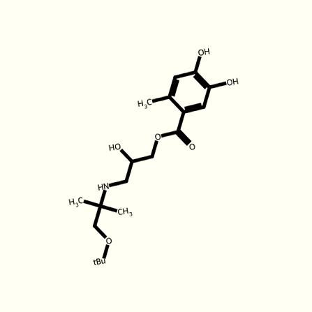 Cc1cc(O)c(O)cc1C(=O)OCC(O)CNC(C)(C)COC(C)(C)C